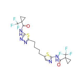 O=C(Nc1ncc(CCCCc2nnc(NC(=O)C3(C(F)(F)F)CC3)s2)s1)C1(C(F)(F)F)CC1